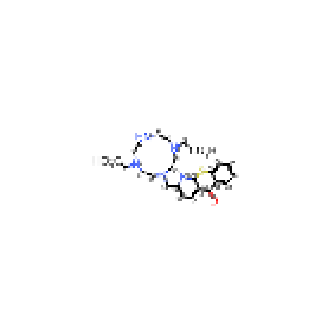 O=C(O)CN1CCNCCN(CC(=O)O)CCN(Cc2ccc3c(=O)c4ccccc4sc3n2)CC1